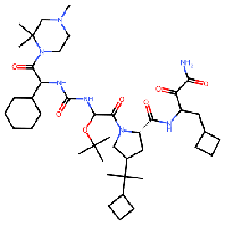 CN1CCN(C(=O)C(NC(=O)NC(OC(C)(C)C)C(=O)N2CC(C(C)(C)C3CCC3)C[C@H]2C(=O)NC(CC2CCC2)C(=O)C(N)=O)C2CCCCC2)C(C)(C)C1